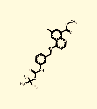 COC(=O)c1cc(I)cc2c(NCc3cccc(NC(=O)OC(C)(C)C)c3)ncnc12